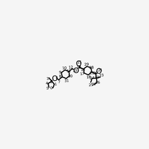 CCC(C)(CC)OCC1CCC(COC(=O)C2CCC(C(=O)C(C)(CC)CC)CC2)CC1